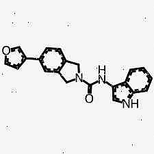 O=C(Nc1c[nH]c2ccccc12)N1Cc2ccc(-c3ccoc3)cc2C1